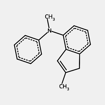 CC1=Cc2c(cccc2N(C)c2ccccc2)C1